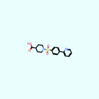 O=C(O)C1CCN(S(=O)(=O)c2ccc(-c3ccccn3)cc2)CC1